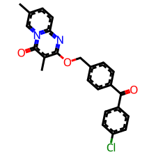 Cc1ccc2nc(OCc3ccc(C(=O)c4ccc(Cl)cc4)cc3)c(C)c(=O)n2c1